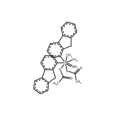 CC(=O)[O][Ti]([CH3])([CH3])(=[SiH2])([O]C(C)=O)([c]1cccc2c1Cc1ccccc1-2)[c]1cccc2c1Cc1ccccc1-2